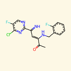 CC(=O)/C(=C/C(=N)c1ncc(F)c(Cl)n1)NCc1ccccc1F